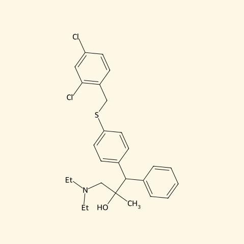 CCN(CC)CC(C)(O)C(c1ccccc1)c1ccc(SCc2ccc(Cl)cc2Cl)cc1